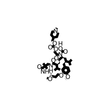 COCCCOc1cc(C[C@@H](C[C@H]2[C@H](C[C@H](C(=O)NCC(C)(C)C(N)=O)C(C)C)OC(COC(=O)OCC3CCN(C)CC3)N2C(=O)O)C(C)C)ccc1OC